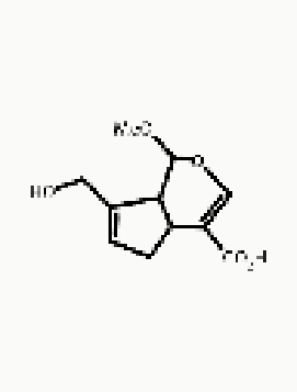 COC1OC=C(C(=O)O)C2CC=C(CO)C12